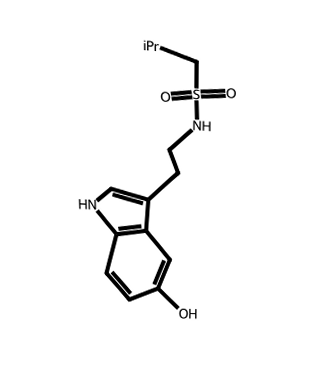 CC(C)CS(=O)(=O)NCCc1c[nH]c2ccc(O)cc12